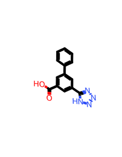 O=C(O)c1cc(-c2ccccc2)cc(-c2nnn[nH]2)c1